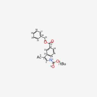 CC(=O)c1cn(C(=O)OC(C)(C)C)c2ccc(C(=O)OCc3ccccc3)cc12